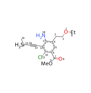 CCOCCc1cc(C(=O)OC)c(Cl)c(C#C[SiH2]C)c1N